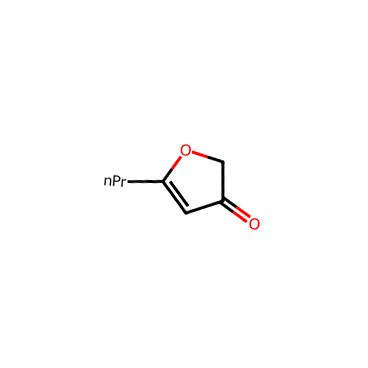 CCCC1=CC(=O)CO1